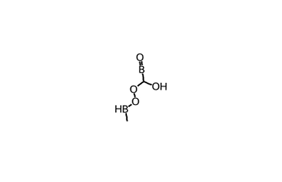 CBOOC(O)B=O